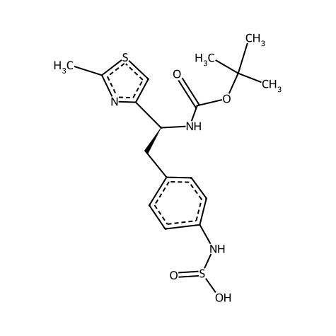 Cc1nc([C@H](Cc2ccc(NS(=O)O)cc2)NC(=O)OC(C)(C)C)cs1